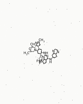 C[C@@H]1CN(c2cc(OCC(F)(F)F)c(Nc3nc(Nc4ccc5nccnc5c4)c4cc[nH]c4n3)cc2-c2cnn(C)c2)C[C@H](C)O1